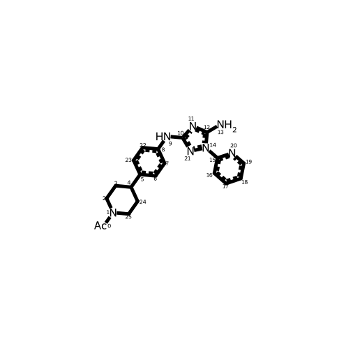 CC(=O)N1CCC(c2ccc(Nc3nc(N)n(-c4ccccn4)n3)cc2)CC1